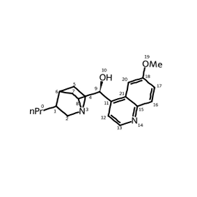 CCCC1CN2CCC1CC2[C@@H](O)c1ccnc2ccc(OC)cc12